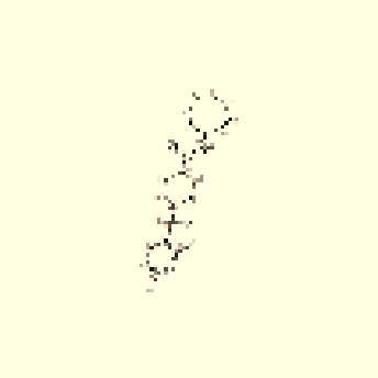 Cc1ccc(S(=O)(=O)N2CCC(C(=O)NC3CCCCCCC3)CC2)c(C)c1